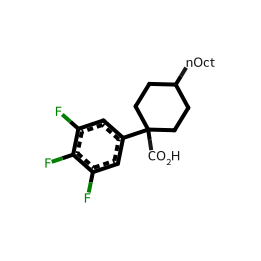 CCCCCCCCC1CCC(C(=O)O)(c2cc(F)c(F)c(F)c2)CC1